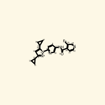 O=C(Nc1ccc(-n2nc(C3CC3)cc2C2CC2)nc1)c1ccncc1F